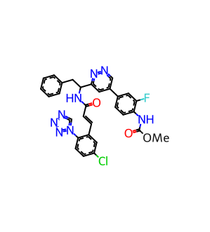 COC(=O)Nc1ccc(-c2cnnc(C(Cc3ccccc3)NC(=O)/C=C/c3cc(Cl)ccc3-n3cnnn3)c2)cc1F